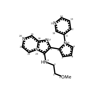 COCCNc1c(-c2cccn2-c2cccnc2)nc2cnccn12